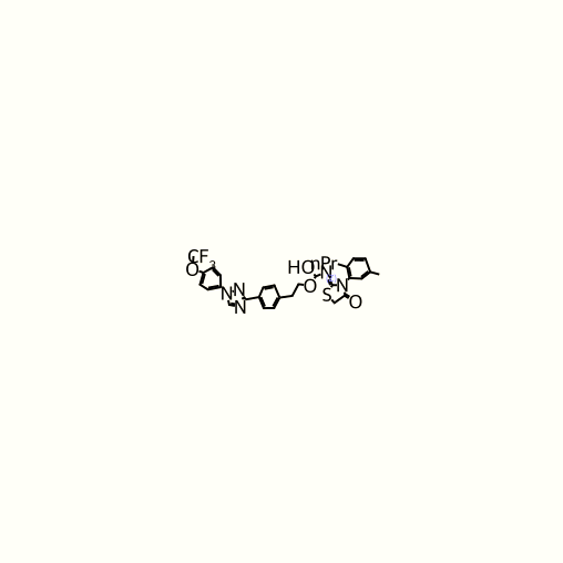 CCCc1ccc(C)cc1N1C(=O)CS/C1=N\C(O)OCCc1ccc(-c2ncn(-c3ccc(OC(F)(F)F)cc3)n2)cc1